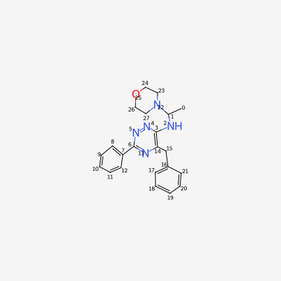 CC(Nc1nnc(-c2ccccc2)nc1Cc1ccccc1)N1CCOCC1